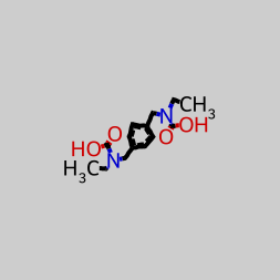 CCN(Cc1ccc(CN(CC)C(=O)O)cc1)C(=O)O